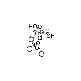 O=C(O)COc1c(C(=O)O)sc(-c2cccc(N(C(=O)OCc3ccccc3)C3CCCCC3)c2)c1Cl